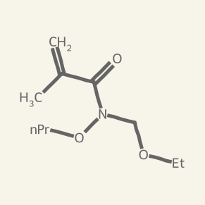 C=C(C)C(=O)N(COCC)OCCC